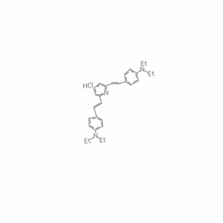 CCN(CC)c1ccc(C=Cc2cccc(/C=C/c3ccc(N(CC)CC)cc3)n2)cc1.Cl